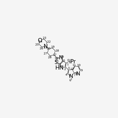 CC(C)c1c(-c2cn(C)c3ncccc23)[nH]c2sc(C3CCC(N4CCOCC4)CC3)nc12